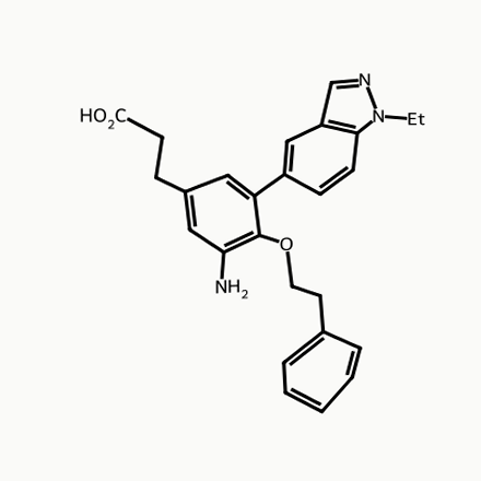 CCn1ncc2cc(-c3cc(CCC(=O)O)cc(N)c3OCCc3ccccc3)ccc21